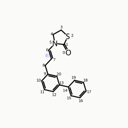 O=C1SCCN1/C=C/Cc1cccc(-c2ccccc2)c1